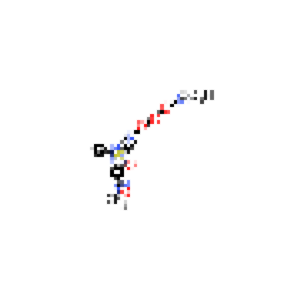 O=C(O)NCCOCCOCCOCCN1CCC(CNC(=O)c2cccc(-c3noc(C(F)(F)F)n3)c2)(c2nc(-c3ccccc3)cs2)CC1